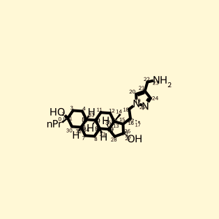 CCC[C@@]1(O)CC[C@H]2[C@H](CC[C@@H]3[C@@H]2CC[C@]2(C)C([C@@H](C)Cn4cc(CN)cn4)[C@H](O)C[C@@H]32)C1